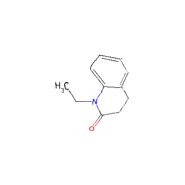 CCN1C(=O)CCc2c[c]ccc21